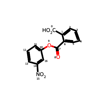 O=C(O)c1ccccc1C(=O)Oc1cccc([N+](=O)[O-])c1